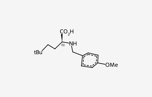 COc1ccc(CN[C@@H](CCC(C)(C)C)C(=O)O)cc1